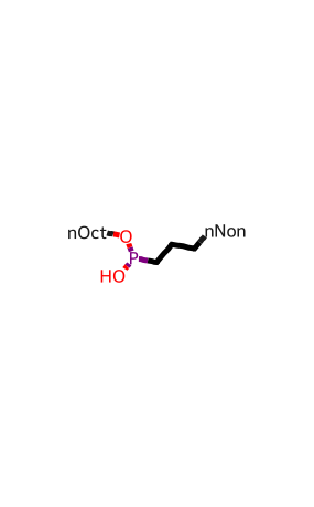 CCCCCCCCCCCCP(O)OCCCCCCCC